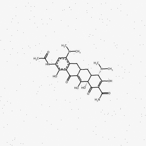 [CH2]C(=O)Nc1cc(N(C)C)c2c(c1O)C(=O)C1=C(O)[C@]3(O)C(=O)C(C(N)=O)=C(O)[C@@H](N(C)C)C3CC1C2